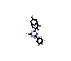 CC1CC2CC(C1)CC(C)(c1nc(Cl)nc(-c3ccccc3)n1)C2